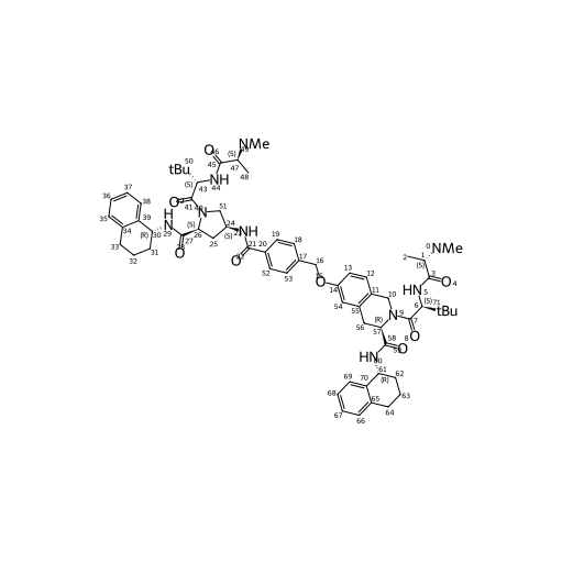 CN[C@@H](C)C(=O)N[C@H](C(=O)N1Cc2ccc(OCc3ccc(C(=O)N[C@H]4C[C@@H](C(=O)N[C@@H]5CCCc6ccccc65)N(C(=O)[C@@H](NC(=O)[C@H](C)NC)C(C)(C)C)C4)cc3)cc2C[C@@H]1C(=O)N[C@@H]1CCCc2ccccc21)C(C)(C)C